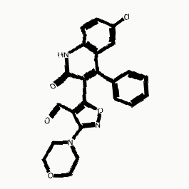 O=Cc1c(N2CCOCC2)noc1-c1c(-c2ccccc2)c2cc(Cl)ccc2[nH]c1=O